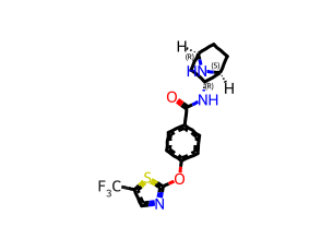 O=C(N[C@@H]1C[C@H]2CC[C@@H]1N2)c1ccc(Oc2ncc(C(F)(F)F)s2)cc1